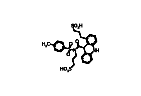 Cc1ccc(S(=O)(=O)N(CCCS(=O)(=O)O)C(=O)C2c3ccccc3Nc3cccc(CCCS(=O)(=O)O)c32)cc1